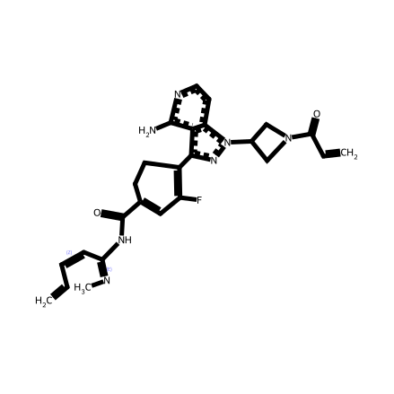 C=C/C=C\C(=N/C)NC(=O)C1=CC(F)=C(c2nn(C3CN(C(=O)C=C)C3)c3ccnc(N)c23)CC1